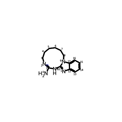 N/C1=N/CCCCCCn2c(nc3ccccc32)N1